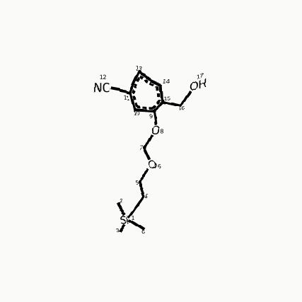 C[Si](C)(C)CCOCOc1cc(C#N)ccc1CO